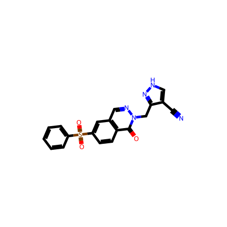 N#Cc1c[nH]nc1Cn1ncc2cc(S(=O)(=O)c3ccccc3)ccc2c1=O